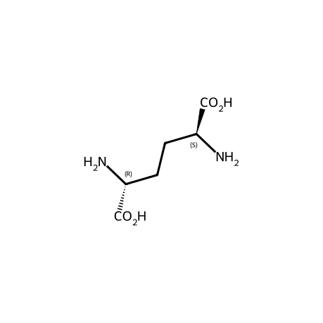 N[C@H](CC[C@H](N)C(=O)O)C(=O)O